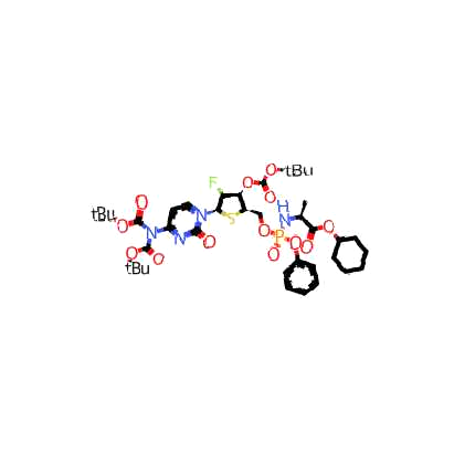 C[C@H](NP(=O)(OC[C@H]1S[C@@H](n2ccc(N(C(=O)OC(C)(C)C)C(=O)OC(C)(C)C)nc2=O)[C@@H](F)[C@@H]1OC(=O)OC(C)(C)C)Oc1ccccc1)C(=O)OC1CCCCC1